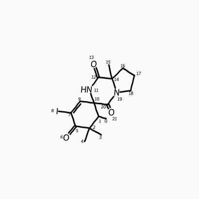 CC1C(C)(C)C(=O)C(I)=CC12NC(=O)C1(C)CCCN1C2=O